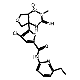 CCc1cccc(NC(=O)c2cc(Cl)c(C34COCC3[S+]([O-])N(C)C(=N)N4)s2)n1